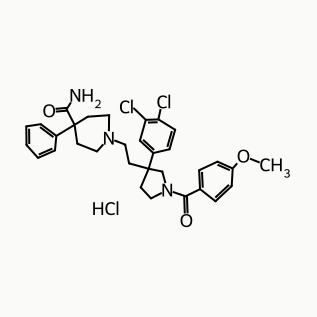 COc1ccc(C(=O)N2CCC(CCN3CCC(C(N)=O)(c4ccccc4)CC3)(c3ccc(Cl)c(Cl)c3)C2)cc1.Cl